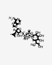 Nc1ncnc2c1ncn2[C@@H]1O[C@H](COP(=O)(S)OP(=O)(O)OC2OCC([C@@H](O)CO)C(O)C(O)C2O)[C@@H](O)[C@]1(F)C1CC1